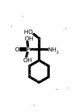 NC(CO)(C1CCCCC1)P(=O)(O)O